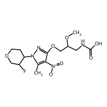 COC(CNC(=O)O)COc1nn(C2CCOCC2F)c(C)c1[N+](=O)[O-]